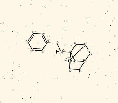 c1ccc(CNC23CC4CC(CC(C4)O2)C3)cc1